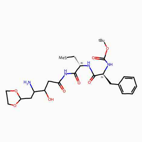 CSC[C@H](NC(=O)[C@H](Cc1ccccc1)NC(=O)OC(C)(C)C)C(=O)NC(=O)CC(O)C(N)CC1OCCO1